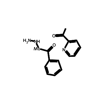 CC(=O)c1ccccn1.N[NH][Mo][C](=O)c1ccccc1